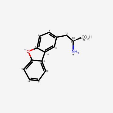 N[C@@H](Cc1ccc2oc3ccccc3c2c1)C(=O)O